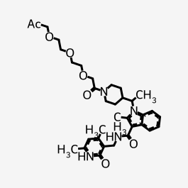 CC(=O)COCCOCCOCC(=O)N1CCC(C(C)n2c(C)c(C(=O)NCc3c(C)cc(C)[nH]c3=O)c3ccccc32)CC1